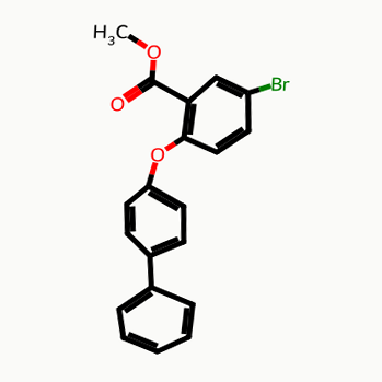 COC(=O)c1cc(Br)ccc1Oc1ccc(-c2ccccc2)cc1